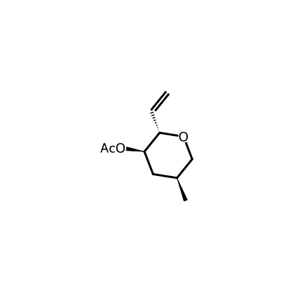 C=C[C@@H]1OC[C@@H](C)C[C@H]1OC(C)=O